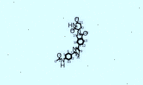 CC(=O)Nc1ccc(-c2nc(-c3ccc4c(c3)CN(C3CCC(=O)NC3=O)C4=O)cn2C)cc1